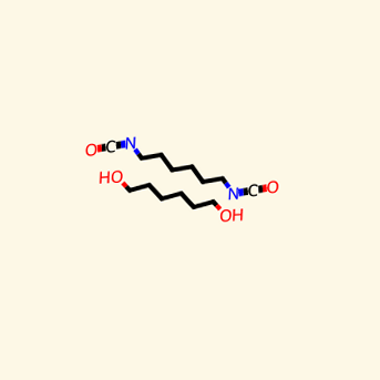 O=C=NCCCCCCN=C=O.OCCCCCCO